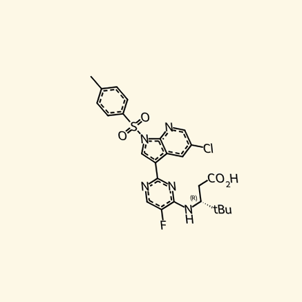 Cc1ccc(S(=O)(=O)n2cc(-c3ncc(F)c(N[C@H](CC(=O)O)C(C)(C)C)n3)c3cc(Cl)cnc32)cc1